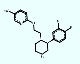 N#Cc1ccc(OCC[C@@H]2CCNC[C@@H]2c2ccc(F)c(F)c2)nc1